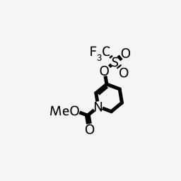 COC(=O)N1C=C(OS(=O)(=O)C(F)(F)F)CCC1